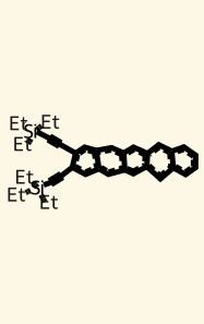 CC[Si](C#Cc1cc2cc3cc4cc5ccccc5cc4cc3cc2cc1C#C[Si](CC)(CC)CC)(CC)CC